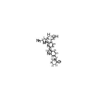 Cc1cc(C#N)nn1-c1nc(-n2cnc3cc(CN4CCCCC4=O)ccc32)ccc1CCO